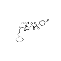 O=C(O)C[C@@H](CCCC1CCCCC1)c1nc(C(=O)NS(=O)(=O)c2ccc(F)cc2)no1